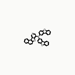 c1ccc2c(c1)ccc1oc3c(N(c4ccc5oc6ccccc6c5c4)c4ccc5oc6ccccc6c5c4)cncc3c12